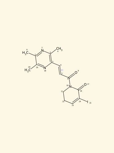 Cc1nc(C)c(/C=C/C(=O)N2CCC=C(I)C2=O)nc1C